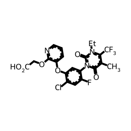 CCn1c(C(F)(F)F)c(C)c(=O)n(-c2cc(Oc3cccnc3OCC(=O)O)c(Cl)cc2F)c1=O